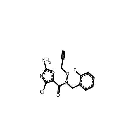 C#CCON(Cc1ccccc1F)C(=O)c1sc(N)nc1Cl